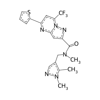 Cc1c(CN(C)C(=O)c2cc3nc(-c4cccs4)cc(C(F)(F)F)n3n2)cnn1C